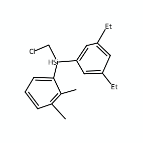 CCc1cc(CC)cc([SiH](CCl)c2cccc(C)c2C)c1